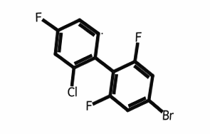 Fc1c[c]c(-c2c(F)cc(Br)cc2F)c(Cl)c1